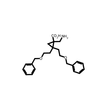 NCC1(C(=O)O)CC1(CCOCc1ccccc1)CCOCc1ccccc1